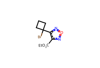 CCOC(=O)c1nonc1C1(Br)CCC1